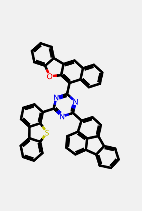 c1ccc2c(c1)-c1cccc3c(-c4nc(-c5c6ccccc6cc6c5oc5ccccc56)nc(-c5cccc6c5sc5ccccc56)n4)ccc-2c13